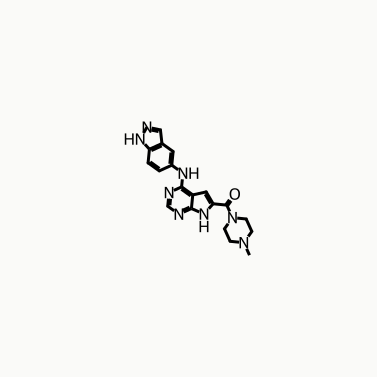 CN1CCN(C(=O)c2cc3c(Nc4ccc5[nH]ncc5c4)ncnc3[nH]2)CC1